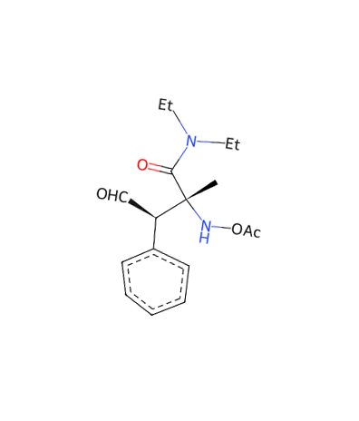 CCN(CC)C(=O)[C@](C)(NOC(C)=O)[C@H](C=O)c1ccccc1